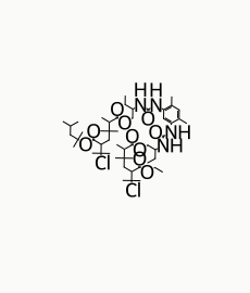 CCOC(=O)C(CC(C)(C)C(C)C(=O)OCC(CC)NC(=O)Nc1cc(NC(=O)NC(CC)COC(=O)C(C)C(C)(C)CC(C(=O)OC(C)(C)CC(C)C)C(C)(C)Cl)c(C)cc1C)C(C)(C)Cl